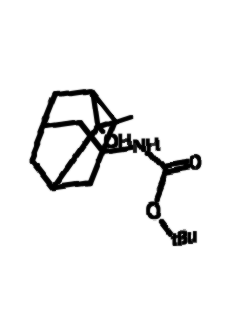 CC(C)(C)OC(=O)NC12CC3CC(C1)C(C)(O)C(C3)C2